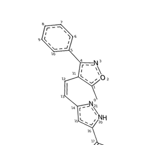 Cc1onc(-c2ccccc2)c1/C=C\c1cc(C(=O)O)[nH]n1